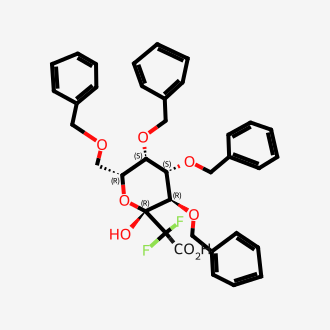 O=C(O)C(F)(F)[C@]1(O)O[C@H](COCc2ccccc2)[C@H](OCc2ccccc2)[C@H](OCc2ccccc2)[C@H]1OCc1ccccc1